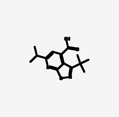 CC(C)c1cc(C(=O)O)c2c(C(C)(C)C)noc2n1